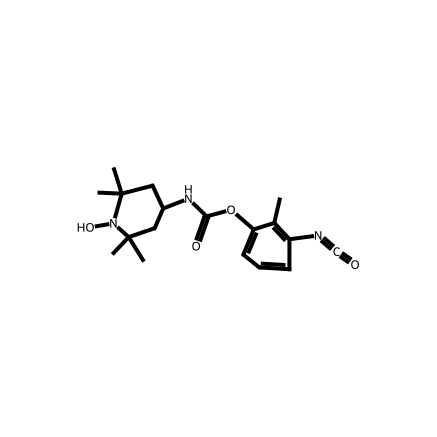 Cc1c(N=C=O)cccc1OC(=O)NC1CC(C)(C)N(O)C(C)(C)C1